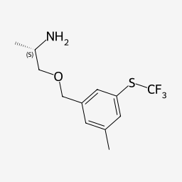 Cc1cc(COC[C@H](C)N)cc(SC(F)(F)F)c1